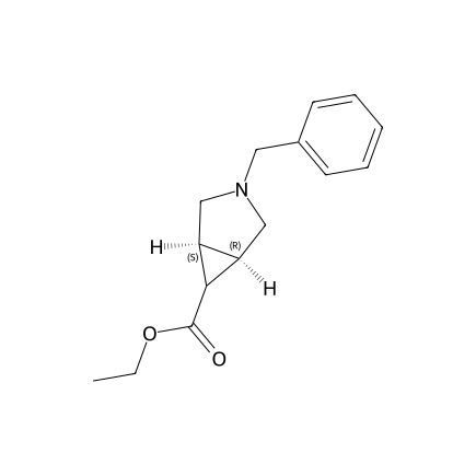 CCOC(=O)C1[C@H]2CN(Cc3ccccc3)C[C@@H]12